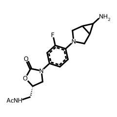 CC(=O)NC[C@H]1CN(c2ccc(N3CC4C(N)C4C3)c(F)c2)C(=O)O1